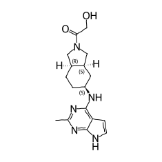 Cc1nc(N[C@H]2CC[C@H]3CN(C(=O)CO)C[C@H]3C2)c2cc[nH]c2n1